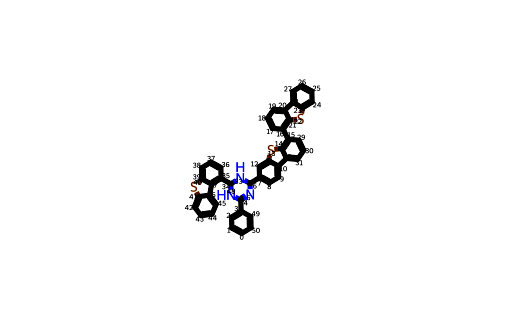 c1ccc(C2=NC(c3ccc4c(c3)sc3c(-c5cccc6c5sc5ccccc56)cccc34)NC(c3cccc4sc5ccccc5c34)N2)cc1